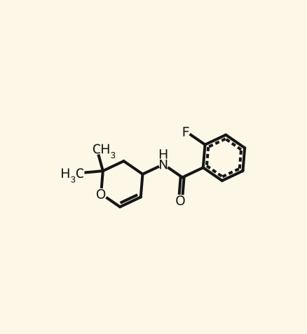 CC1(C)CC(NC(=O)c2ccccc2F)C=CO1